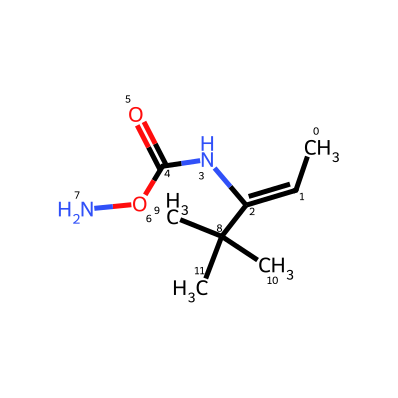 C/C=C(\NC(=O)ON)C(C)(C)C